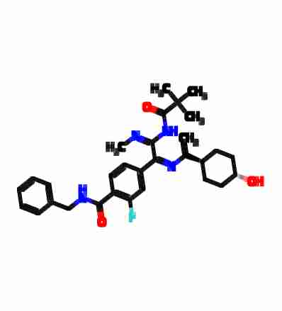 C=C(/N=C(\C(=N/C)NC(=O)C(C)(C)C)c1ccc(C(=O)NCc2ccccc2)c(F)c1)[C@H]1CC[C@H](O)CC1